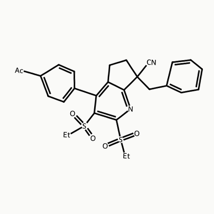 CCS(=O)(=O)c1nc2c(c(-c3ccc(C(C)=O)cc3)c1S(=O)(=O)CC)CCC2(C#N)Cc1ccccc1